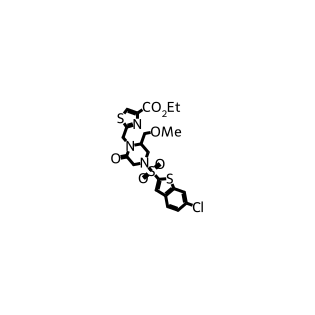 CCOC(=O)c1csc(CN2C(=O)CN(S(=O)(=O)c3cc4ccc(Cl)cc4s3)CC2COC)n1